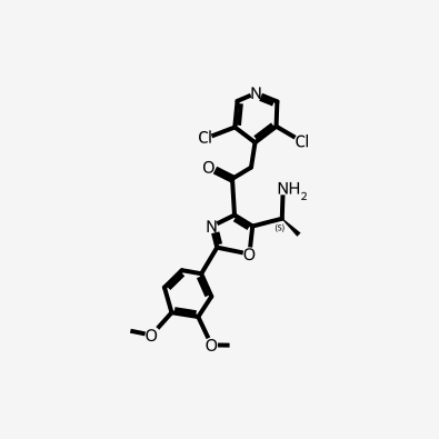 COc1ccc(-c2nc(C(=O)Cc3c(Cl)cncc3Cl)c([C@H](C)N)o2)cc1OC